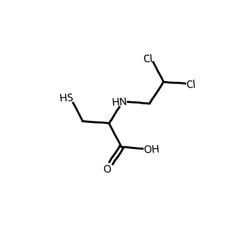 O=C(O)C(CS)NCC(Cl)Cl